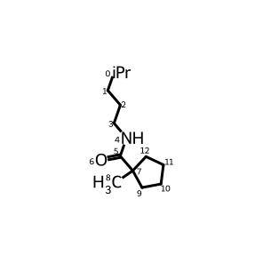 CC(C)CCCNC(=O)C1(C)CCCC1